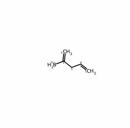 BC(=C)CC=C